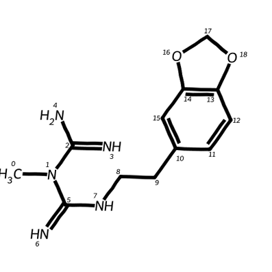 CN(C(=N)N)C(=N)NCCc1ccc2c(c1)OCO2